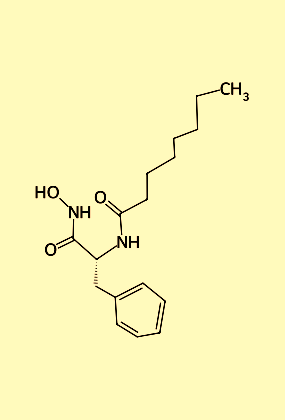 CCCCCCCC(=O)N[C@H](Cc1ccccc1)C(=O)NO